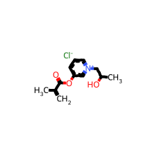 C=C(C)C(=O)Oc1ccc[n+](CC(C)O)c1.[Cl-]